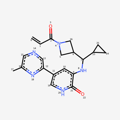 C=CC(=O)N1CC(C(Nc2cc(-c3cncc(C)n3)c[nH]c2=O)C2CC2)C1